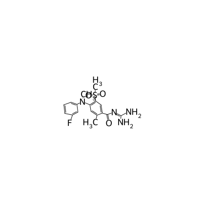 Cc1cc(N(C)c2cccc(F)c2)c(S(C)(=O)=O)cc1C(=O)N=C(N)N